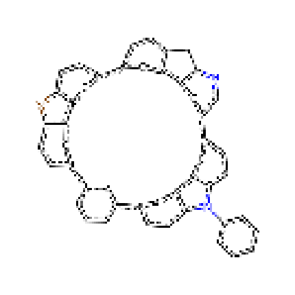 c1ccc(-n2c3ccc4cc3c3cc(ccc32)c2cnc3c(c2)c2cc(ccc2C3)c2ccc3sc5ccc(cc5c3c2)c2cccc4c2)cc1